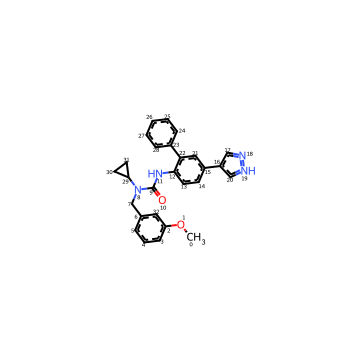 COc1cccc(CN(C(=O)Nc2ccc(-c3cn[nH]c3)cc2-c2ccccc2)C2CC2)c1